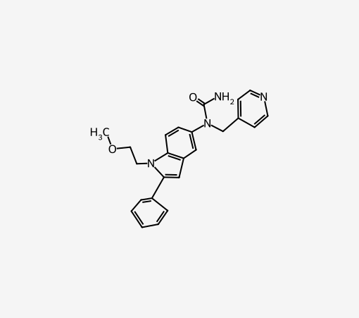 COCCn1c(-c2ccccc2)cc2cc(N(Cc3ccncc3)C(N)=O)ccc21